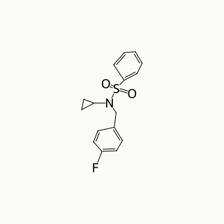 O=S(=O)(c1ccccc1)N(Cc1ccc(F)cc1)C1CC1